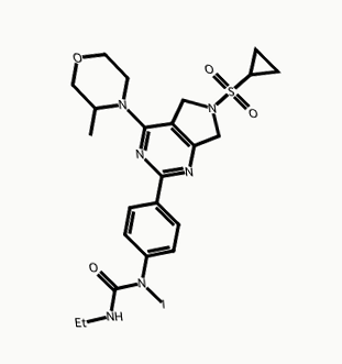 CCNC(=O)N(I)c1ccc(-c2nc3c(c(N4CCOCC4C)n2)CN(S(=O)(=O)C2CC2)C3)cc1